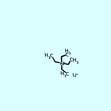 C[CH2][Al-]([CH2]C)([CH2]C)[CH2]C.[Li+]